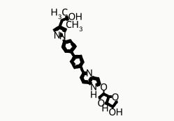 CC(C)(O)Cc1cnn(-c2ccc(-c3ccc(-c4ccc5[nH]c(O[C@@H]6CO[C@H]7C6OC[C@H]7O)cc5n4)cc3)cc2)c1